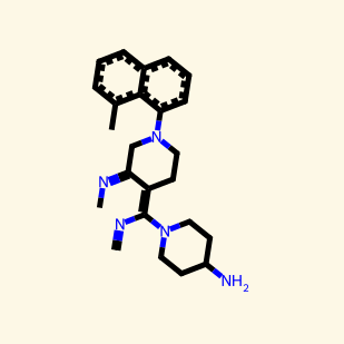 C=N/C(=C1/CCN(c2cccc3cccc(C)c23)C/C1=N/C)N1CCC(N)CC1